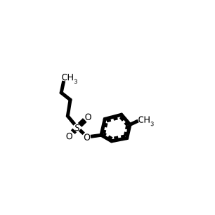 CCCCS(=O)(=O)Oc1ccc(C)cc1